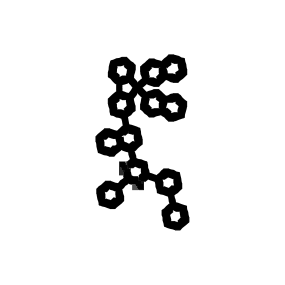 c1ccc(-c2cccc(-c3cc(-c4ccc(-c5ccc6c(c5)C(c5ccc7ccccc7c5)(c5ccc7ccccc7c5)c5ccccc5-6)c5ccccc45)nc(-c4ccccc4)n3)c2)cc1